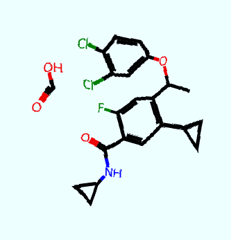 CC(Oc1ccc(Cl)c(Cl)c1)c1cc(F)c(C(=O)NC2CC2)cc1C1CC1.O=CO